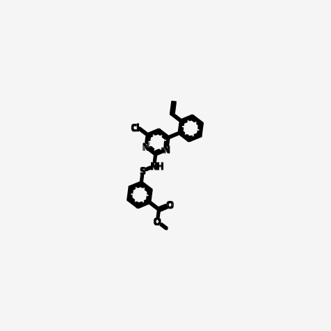 C=Cc1ccccc1-c1cc(Cl)nc(NSc2cccc(C(=O)OC)c2)n1